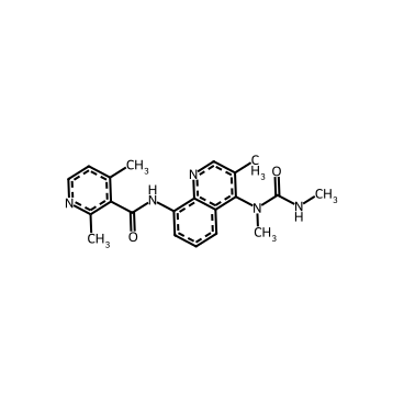 CNC(=O)N(C)c1c(C)cnc2c(NC(=O)c3c(C)ccnc3C)cccc12